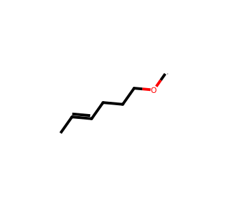 [CH2]OCCC/C=C/C